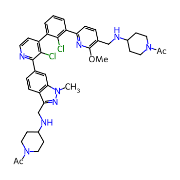 COc1nc(-c2cccc(-c3ccnc(-c4ccc5c(CNC6CCN(C(C)=O)CC6)nn(C)c5c4)c3Cl)c2Cl)ccc1CNC1CCN(C(C)=O)CC1